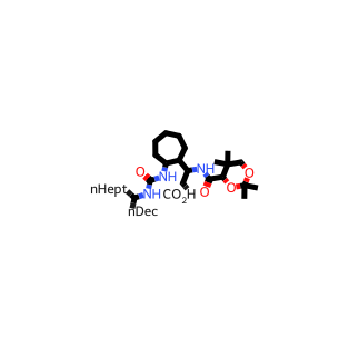 CCCCCCCCCCC(CCCCCCC)NC(=O)NC1CCCCCC1C(CC(=O)O)NC(=O)C1OC(C)(C)OCC1(C)C